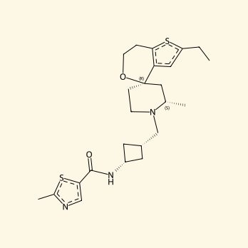 CCc1cc2c(s1)CCO[C@@]21CCN(C[C@H]2C[C@@H](NC(=O)c3cnc(C)s3)C2)[C@@H](C)C1